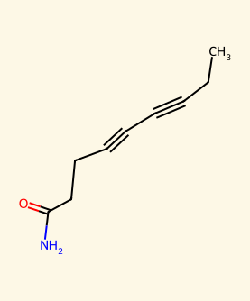 CCC#CC#CCCC(N)=O